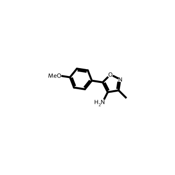 COc1ccc(-c2onc(C)c2N)cc1